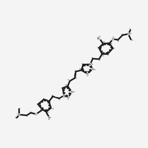 CN(C)CCOc1ccc(CCn2cc(CCCc3cn(CCc4ccc(OCCN(C)C)c(Br)c4)nn3)nn2)cc1Br